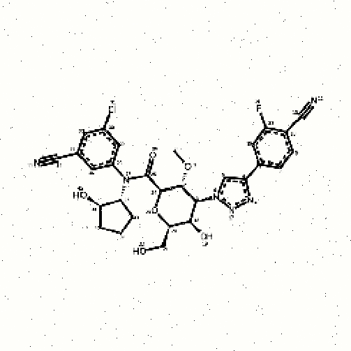 CO[C@@H]1[C@@H](n2cc(-c3ccc(C#N)c(F)c3)nn2)[C@@H](O)[C@@H](CO)O[C@H]1C(=O)N(c1cc(Cl)cc(C#N)c1)[C@@H]1CCC[C@H]1O